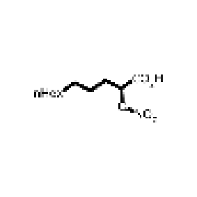 CCCCCCCCCC(O[N+](=O)[O-])C(=O)O